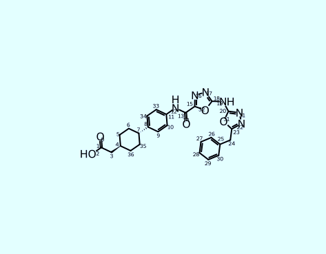 O=C(O)C[C@H]1CC[C@H](c2ccc(NC(=O)c3nnc(Nc4nnc(Cc5ccccc5)o4)o3)cc2)CC1